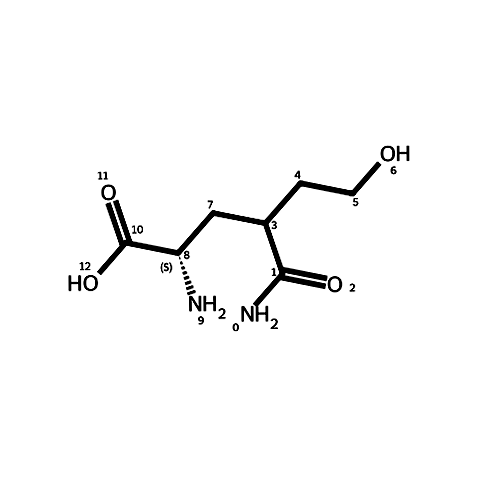 NC(=O)C(CCO)C[C@H](N)C(=O)O